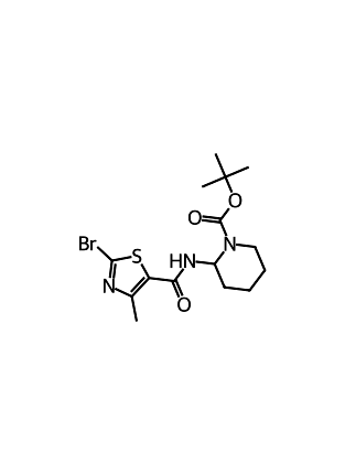 Cc1nc(Br)sc1C(=O)NC1CCCCN1C(=O)OC(C)(C)C